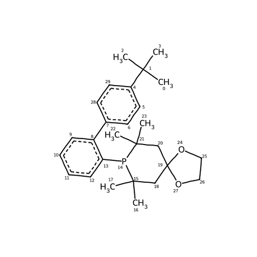 CC(C)(C)c1ccc(-c2ccccc2P2C(C)(C)CC3(CC2(C)C)OCCO3)cc1